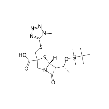 C[C@@H](O[Si](C)(C)C(C)(C)C)[C@@H]1C(=O)N2CC(CSc3nnnn3C)(C(=O)O)S[C@H]12